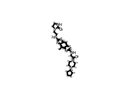 Cc1c2nc(NCCN3CCNC3=O)sc2cc2sc(NCC(=O)N3CCN(C4CCCC4)CC3)nc12